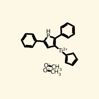 C1=CC[C]([Ti+2][c]2cc(-c3ccccc3)[pH]c2-c2ccccc2)=C1.C[O-].C[O-]